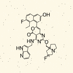 CCc1c(F)ccc2cc(O)cc(-c3cc4nc(OC[C@@]56CCCN5C[C@H](F)C6)nc(NCc5c[nH]c6ncccc56)c4c(=O)o3)c12